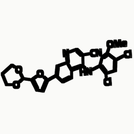 COc1cc(Nc2c(C#N)cnc3cc(-c4ccc(C5OCCCO5)o4)ccc23)c(Cl)cc1Cl